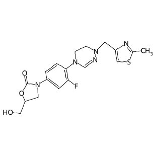 Cc1nc(CN2CCN(c3ccc(N4CC(CO)OC4=O)cc3F)C=N2)cs1